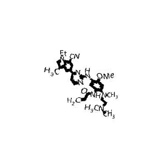 C=CC(=O)Nc1cc(Nc2nccc(-c3cc(C#N)c4c(c3)c(C)cn4CC)n2)c(OC)cc1N(C)CCN(C)C